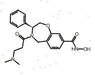 CN(C)CCC(=O)N1Cc2ccc(C(=O)NO)cc2OC[C@@H]1c1ccccc1